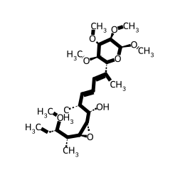 CC[C@H](OC)[C@@H](C)[C@@H]1O[C@H]1[C@@H](O)[C@H](C)/C=C/C=C(\C)[C@H]1O[C@H](OC)[C@H](OC)[C@@H](OC)[C@@H]1OC